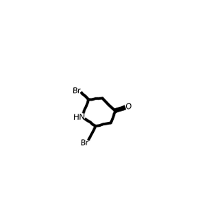 O=C1CC(Br)NC(Br)C1